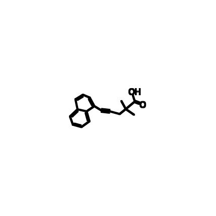 CC(C)(CC#Cc1cccc2ccccc12)C(=O)O